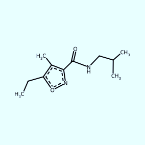 CCc1onc(C(=O)NCC(C)C)c1C